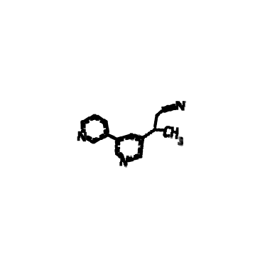 CC(CC#N)c1cncc(-c2cccnc2)c1